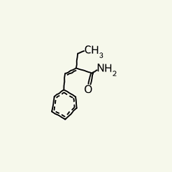 CCC(=Cc1ccccc1)C(N)=O